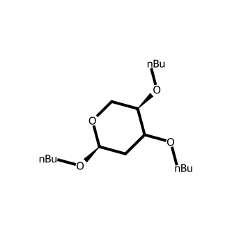 CCCCOC1C[C@@H](OCCCC)OC[C@H]1OCCCC